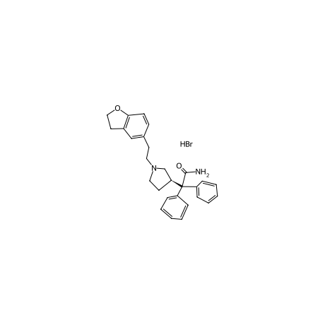 Br.NC(=O)C(c1ccccc1)(c1ccccc1)[C@H]1CCN(CCc2ccc3c(c2)CCO3)C1